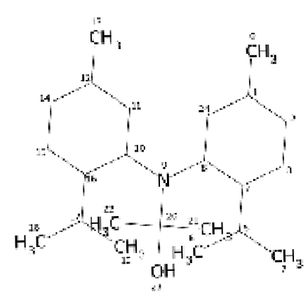 CC1CCC(C(C)C)C(N(C2CC(C)CCC2C(C)C)C(C)(C)O)C1